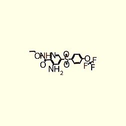 CCONC(=O)c1ncc(S(=O)(=O)c2ccc(OC(F)(F)F)cc2)cc1N